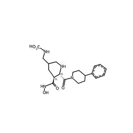 O=C(O)NCC1CN[C@H](C(=O)N2CCC(c3ccccc3)CC2)[C@@H](C(=O)NO)C1